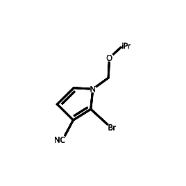 CC(C)OCn1ccc(C#N)c1Br